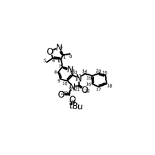 Cc1noc(C)c1-c1ccc2c(n1)n(Cc1ccccc1)c(=O)n2C(=O)OC(C)(C)C